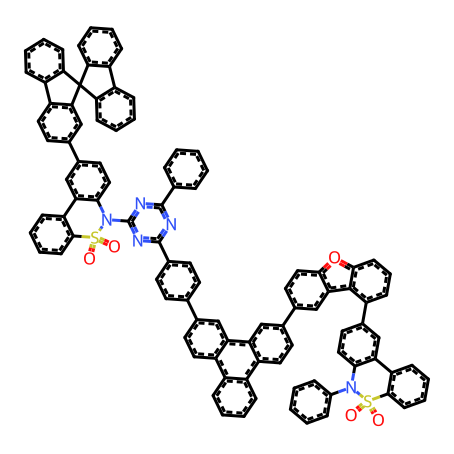 O=S1(=O)c2ccccc2-c2cc(-c3cccc4oc5ccc(-c6ccc7c8ccccc8c8ccc(-c9ccc(-c%10nc(-c%11ccccc%11)nc(N%11c%12ccc(-c%13ccc%14c(c%13)C%13(c%15ccccc%15-c%15ccccc%15%13)c%13ccccc%13-%14)cc%12-c%12ccccc%12S%11(=O)=O)n%10)cc9)cc8c7c6)cc5c34)ccc2N1c1ccccc1